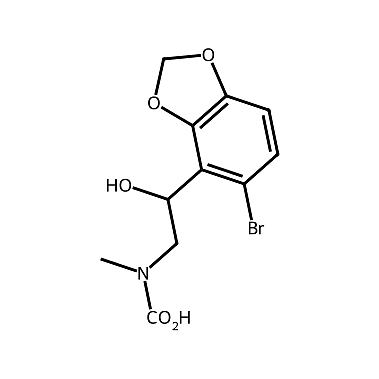 CN(CC(O)c1c(Br)ccc2c1OCO2)C(=O)O